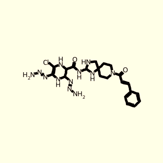 NN=NC1=C(Cl)NC(C(=O)NC2NCC3(CCN(C(=O)/C=C/c4ccccc4)CC3)N2)C(N=NN)N1